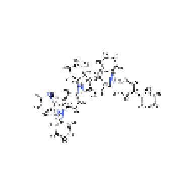 c1ccc(-c2ccc(-n3c4ccccc4c4c5c6ccccc6n(-c6ccc7c(c6)c6ncccc6n7-c6ccccc6)c5ccc43)cc2)cc1